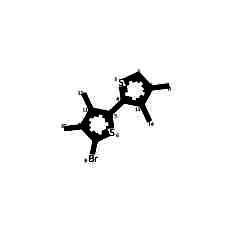 Cc1csc(-c2sc(Br)c(C)c2C)c1C